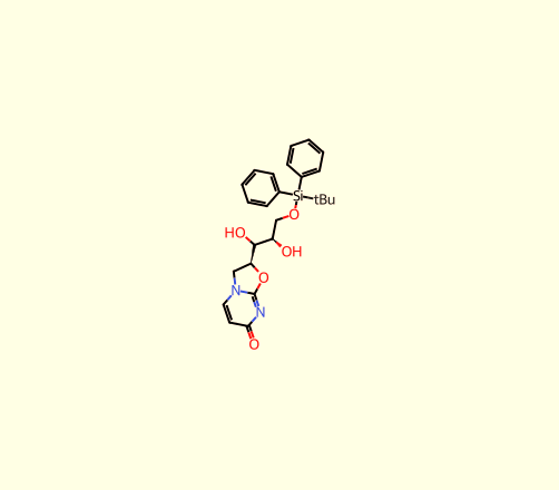 CC(C)(C)[Si](OC[C@@H](O)C(O)[C@@H]1Cn2ccc(=O)nc2O1)(c1ccccc1)c1ccccc1